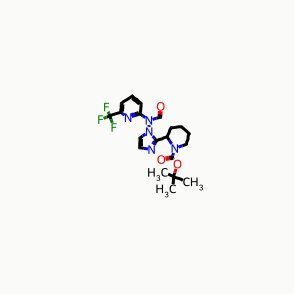 CC(C)(C)OC(=O)N1CCCCC1c1nccn1N(C=O)c1cccc(C(F)(F)F)n1